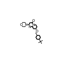 CC(C)(C)c1ccc(COc2ccn3c(=O)cc(N4CCOCC4)nc3c2)cc1